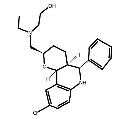 CCN(CCO)C[C@H]1CC[C@@H]2[C@H](O1)c1cc(Cl)ccc1N[C@H]2c1ccccc1